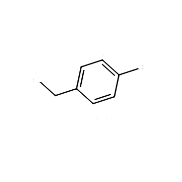 CC(C)c1ccc(CCl)cc1.[Ru+2]